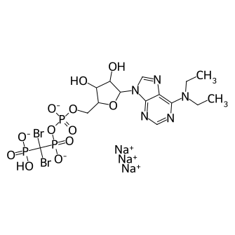 CCN(CC)c1ncnc2c1ncn2C1OC(COP(=O)([O-])OP(=O)([O-])C(Br)(Br)P(=O)([O-])O)C(O)C1O.[Na+].[Na+].[Na+]